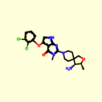 C[C@@H]1OCC2(CCN(c3nc4[nH]cc(Oc5cccc(Cl)c5Cl)c4c(=O)n3C)CC2)[C@@H]1N